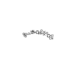 CC1(C)[C@H](NC(=O)c2ccc(-n3cc(COCOS(C)(=O)=O)nn3)cc2)C(C)(C)[C@H]1Oc1ccc(C#N)c(Cl)c1